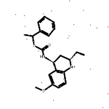 CC[C@@H]1C[C@H](NC(=O)OC(C)c2ccccc2)c2cc(OC)ccc2N1